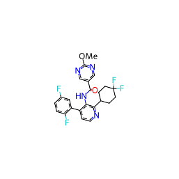 COc1ncc(C(=O)Nc2c(-c3cc(F)ccc3F)ccnc2C2CCC(F)(F)CC2)cn1